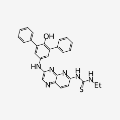 CCNC(=S)Nc1ccc2ncc(Nc3cc(-c4ccccc4)c(O)c(-c4ccccc4)c3)nc2n1